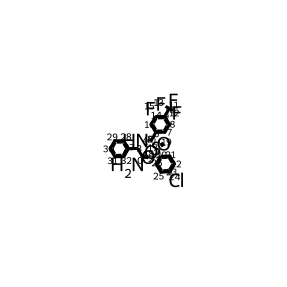 NC(=O)C(N[C@@H](c1ccc(C(F)(F)F)c(F)c1)S(=O)(=O)c1ccc(Cl)cc1)c1ccccc1